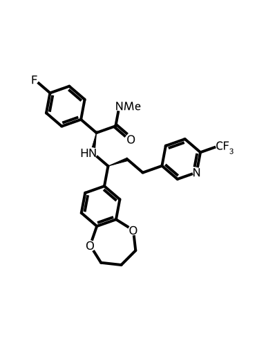 CNC(=O)[C@@H](N[C@@H](CCc1ccc(C(F)(F)F)nc1)c1ccc2c(c1)OCCCO2)c1ccc(F)cc1